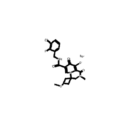 COC1CC2(C1)CN(C)C(=O)c1c([O-])c(=O)c(C(=O)NCc3cccc(Cl)c3F)cn12.[Na+]